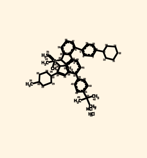 CC1=Cc2c(-c3ccc(C4CCCCC4)cc3)cccc2[CH]1[Zr]([CH3])([CH3])(=[SiH2])[CH]1C(C2CCC(C)CC2)=Cc2c(-c3ccc(C(C)(C)C)cc3)cccc21.Cl.Cl